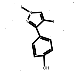 Oc1ccc(-c2nn(I)cc2I)cc1